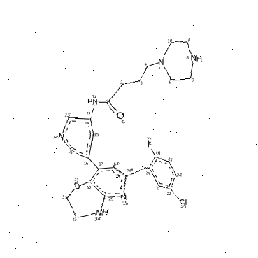 O=C(CCCN1CCNCC1)Nc1cncc(-c2cc(-c3cc(Cl)ccc3F)nc3c2OCCN3)c1